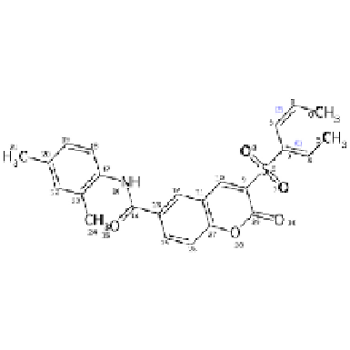 C/C=C\C(=C/C)S(=O)(=O)c1cc2cc(C(=O)Nc3ccc(C)cc3C)ccc2oc1=O